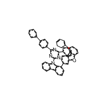 C1=CCCC(c2cccc3oc4cc(-c5cccc6c7ccccc7n(-c7nc(-c8ccccc8)nc(-c8ccc(-c9ccccc9)cc8)n7)c56)ccc4c23)=C1